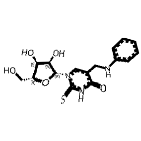 O=c1[nH]c(=S)n([C@@H]2O[C@H](CO)[C@@H](O)[C@H]2O)cc1CNc1ccccc1